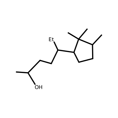 CCC(CCC(C)O)C1CCC(C)C1(C)C